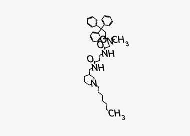 CCCCCCCN1CCCC(CNC(=O)CCNC(=O)CN(C)C(=O)CC(c2ccccc2)(c2ccccc2)c2ccccc2)C1